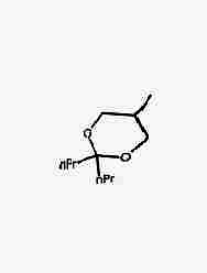 CCCC1(CCC)OCC(C)CO1